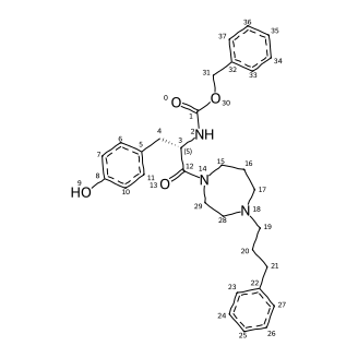 O=C(N[C@@H](Cc1ccc(O)cc1)C(=O)N1CCCN(CCCc2ccccc2)CC1)OCc1ccccc1